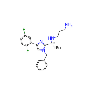 CC(C)(C)[C@@H](NCCCN)c1nc(-c2cc(F)ccc2F)cn1Cc1ccccc1